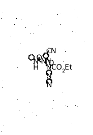 CCOC(=O)C(=O)N(Cc1nc2cc(C#N)ccc2n1CC(=O)NC1CCCCC1)C1CCN(c2ccncc2)CC1